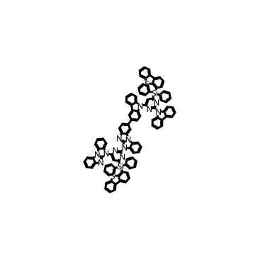 c1ccc([Si](c2ccccc2)(c2cc(-n3c4ccccc4c4cc(-c5ccc6nc7n(-c8nc(-n9c%10ccccc%10n%10c%11ccccc%11nc9%10)cc([Si](c9ccccc9)(c9ccccc9)c9cccc%10c9sc9ccccc9%10)n8)c8ccccc8n7c6c5)ccc43)nc(-n3c4ccccc4c4ccccc43)n2)c2cccc3c2sc2ccccc23)cc1